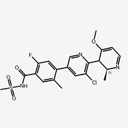 COC1=CC=N[C@@H](C)C1c1ncc(-c2cc(F)c(C(=O)NS(C)(=O)=O)cc2C)cc1Cl